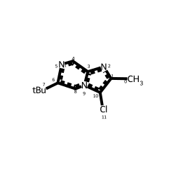 Cc1nc2cnc(C(C)(C)C)cn2c1Cl